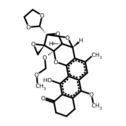 COCO[C@@]12Oc3c(c(C)cc4c(OC)c5c(c(O)c34)C(=O)CCC5)[C@H]3O[C@](C4OCCO4)(O[C@@H]31)[C@]21CO1